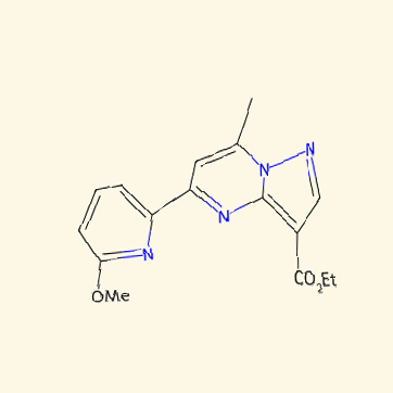 CCOC(=O)c1cnn2c(C)cc(-c3cccc(OC)n3)nc12